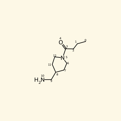 CCCC(=O)N1CCC(CN)CC1